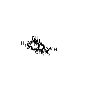 CCCC[S+]([O-])c1scnc(-c2nccs2)cc(/C(C)=C/C=C\CC(=O)N(C)CCN(C)C)cc1N